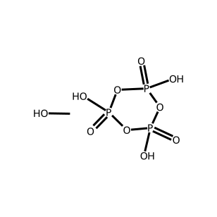 CO.O=P1(O)OP(=O)(O)OP(=O)(O)O1